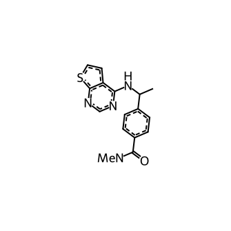 CNC(=O)c1ccc(C(C)Nc2ncnc3sccc23)cc1